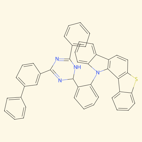 c1ccc(C2=NC(c3cccc(-c4ccccc4)c3)=NC(c3ccccc3-n3c4ccccc4c4ccc5sc6ccccc6c5c43)N2)cc1